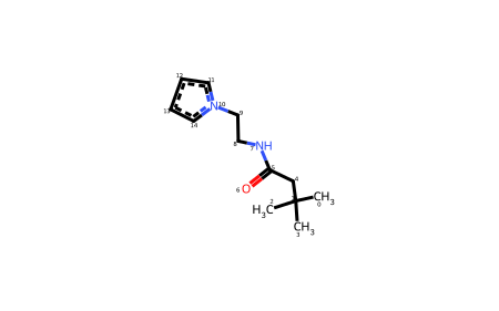 CC(C)(C)CC(=O)NCCn1cccc1